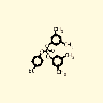 CCc1ccc(OP(=O)(Oc2cc(C)cc(C)c2)Oc2cc(C)cc(C)c2)cc1